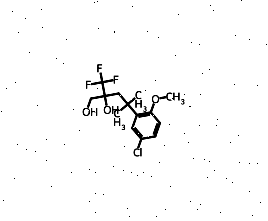 COc1ccc(Cl)cc1C(C)(C)CC(O)(CO)C(F)(F)F